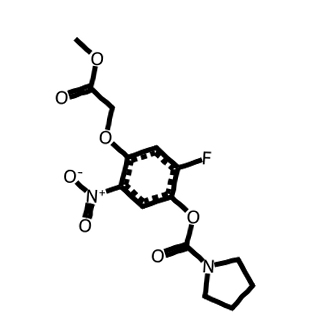 COC(=O)COc1cc(F)c(OC(=O)N2CCCC2)cc1[N+](=O)[O-]